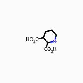 O=C(O)C1CCC[N]C1C(=O)O